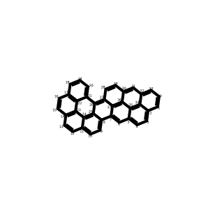 c1cc2ccc3cc4c5ccc6ccc7ccc8cccc9c8c7c6c5c9c5ccc6cc(c1)c2c3c6c45